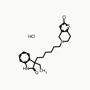 CCC1(CCCCCCN2CCc3sc(Cl)cc3C2)C(=O)Nc2ccccc21.Cl